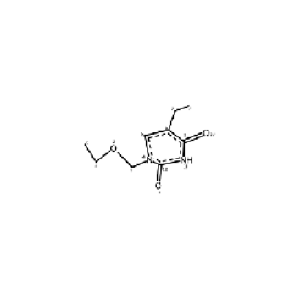 CCOCn1cc(CC)c(=O)[nH]c1=O